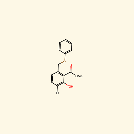 CCc1ccc(CSc2ccccc2)c(C(=O)OC)c1O